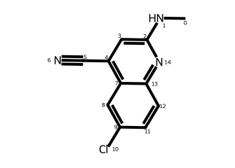 CNc1cc(C#N)c2cc(Cl)ccc2n1